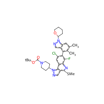 CSc1nc2c(F)c(-c3c(C)c(C)cc4c3cnn4C3CCCCO3)c(Cl)cc2c2c1cnn2C1CCN(C(=O)OC(C)(C)C)CC1